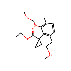 CCOC(=O)C1(c2c(CCOC)ccc(C)c2OCOC)CC1